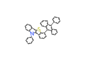 c1ccc(-c2c3ccccc3c(-c3cccc4c3sc3c5ccccc5n(-c5ccccc5)c43)c3ccccc23)cc1